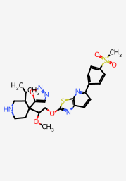 COC(COc1nc2ccc(-c3ccc(S(C)(=O)=O)cc3)nc2s1)C1(c2cnno2)CCNCC1C(C)C